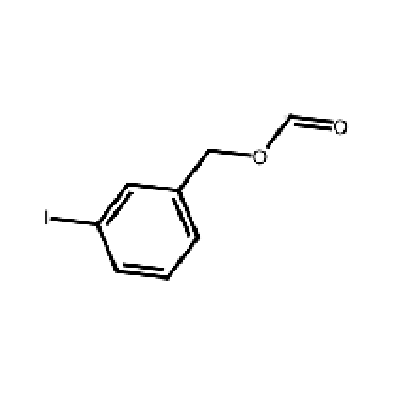 O=[C]OCc1cccc(I)c1